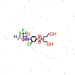 C[C@@](O)(C(=O)Nc1ccc(S(=O)(=O)N(CCO)CCCO)cc1Cl)C(F)(F)F